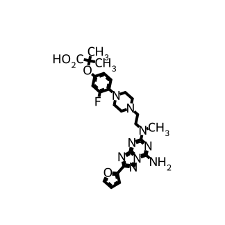 CN(CCN1CCN(c2ccc(OC(C)(C)C(=O)O)cc2F)CC1)c1nc(N)n2nc(-c3ccco3)nc2n1